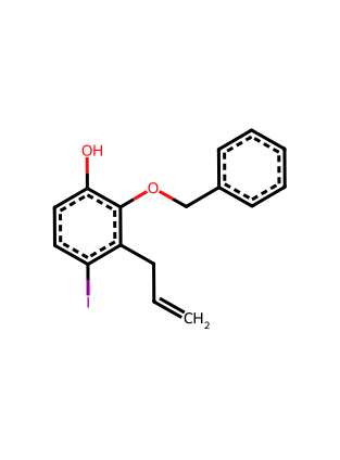 C=CCc1c(I)ccc(O)c1OCc1ccccc1